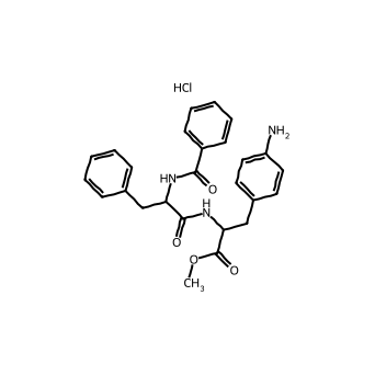 COC(=O)C(Cc1ccc(N)cc1)NC(=O)C(Cc1ccccc1)NC(=O)c1ccccc1.Cl